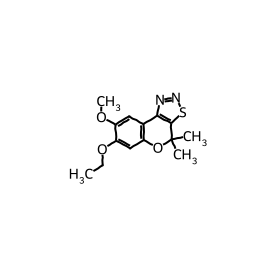 CCOc1cc2c(cc1OC)-c1nnsc1C(C)(C)O2